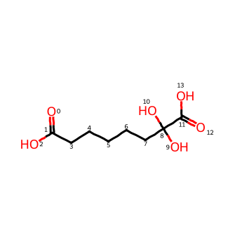 O=C(O)CCCCCC(O)(O)C(=O)O